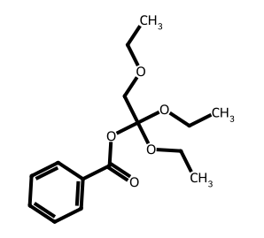 CCOCC(OCC)(OCC)OC(=O)c1ccccc1